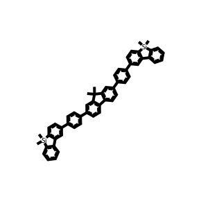 CC1(C)c2cc(-c3ccc(-c4ccc5c(c4)-c4ccccc4[Si]5(C)C)cc3)ccc2-c2ccc(-c3ccc(-c4ccc5c(c4)-c4ccccc4[Si]5(C)C)cc3)cc21